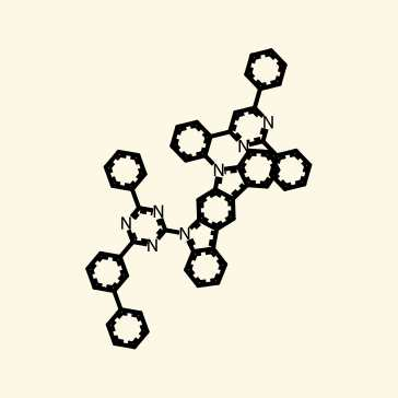 c1ccc(-c2cccc(-c3nc(-c4ccccc4)nc(-n4c5ccccc5c5cc6c7ccccc7n(-c7ccccc7-c7cc(-c8ccccc8)nc(-c8ccccc8)n7)c6cc54)n3)c2)cc1